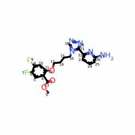 COC(=O)c1cc(F)c(F)cc1OCCCCn1cnnc1-c1cccc(N)n1